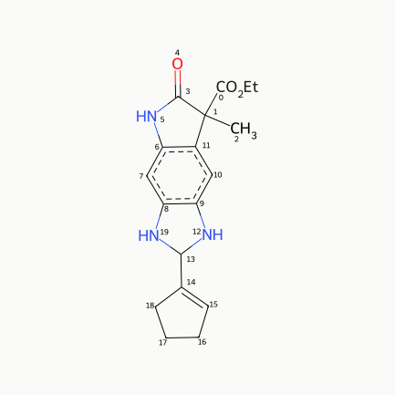 CCOC(=O)C1(C)C(=O)Nc2cc3c(cc21)NC(C1=CCCC1)N3